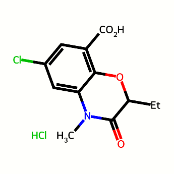 CCC1Oc2c(C(=O)O)cc(Cl)cc2N(C)C1=O.Cl